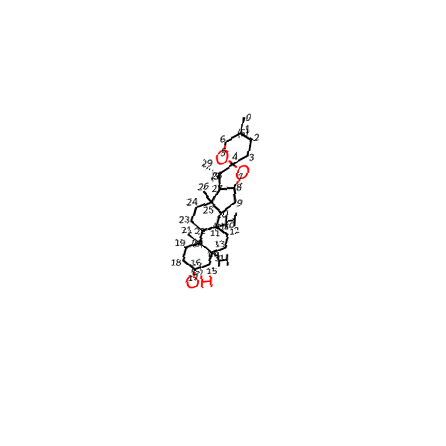 C[C@H]1CCC2(OC1)OC1CC3[C@@H]4CC[C@@H]5C[C@@H](O)CC[C@]5(C)C4CCC3(C)C1[C@@H]2C